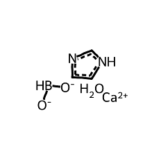 O.[Ca+2].[O-]B[O-].c1c[nH]cn1